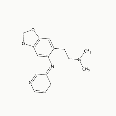 CN(C)CCc1cc2c(cc1N=C1C=NC=CC1)OCO2